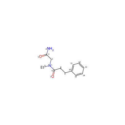 CCN(CC(N)=O)C(=O)[CH]Cc1ccccc1